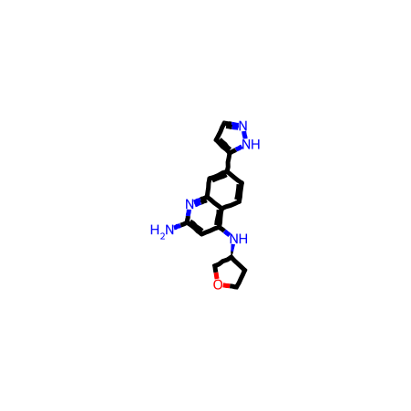 Nc1cc(N[C@H]2CCOC2)c2ccc(-c3ccn[nH]3)cc2n1